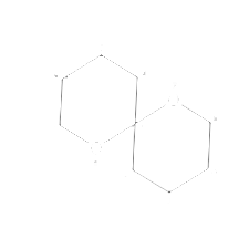 [CH]1CCC2(CC[CH]CO2)OC1